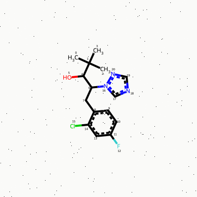 CC(C)(C)C(O)C(Cc1ccc(F)cc1Cl)n1cncn1